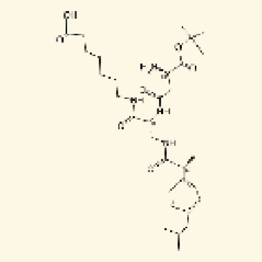 CC(C)Cc1ccc([C@H](C)C(=O)NC[C@@H](NC(=O)C[C@@H](N)C(=O)OC(C)(C)C)C(=O)NCCCCCCC(=O)O)cc1